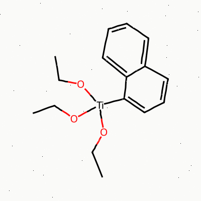 CC[O][Ti]([O]CC)([O]CC)[c]1cccc2ccccc12